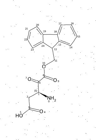 N[C@@H](CC(=O)O)C(=O)C(=O)OCC1c2ccccc2-c2ccccc21